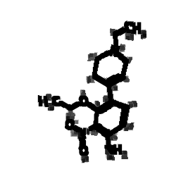 CCOc1c(C2=CCN(CC)CC2)ccc(N)c1[N+](=O)[O-]